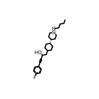 CCCCC[Si@H]1CC[C@H](C2CCC(CC(O)C#Cc3ccc(F)cc3)CC2)CC1